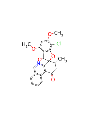 COc1cc(OC)c2c(c1Cl)O[C@]1(C2=O)c2ncc3ccccc3c2C(=O)C[C@H]1C